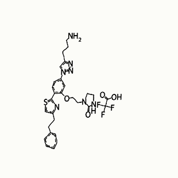 NCCCc1cn(-c2ccc(-c3nc(CCc4ccccc4)cs3)c(OCCN3CCNC3=O)c2)nn1.O=C(O)C(F)(F)F